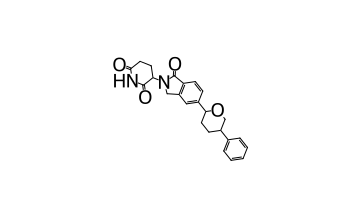 O=C1CCC(N2Cc3cc(C4CCC(c5ccccc5)CO4)ccc3C2=O)C(=O)N1